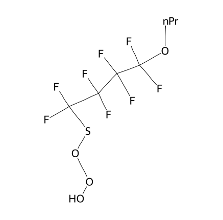 CCCOC(F)(F)C(F)(F)C(F)(F)C(F)(F)SOOO